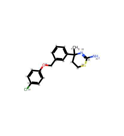 CC1(c2cccc(COc3ccc(Cl)cc3)c2)CCSC(N)=N1